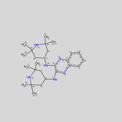 CC1(C)CC(Nc2nc3ccccc3nc2NC2CC(C)(C)NC(C)(C)C2)CC(C)(C)N1